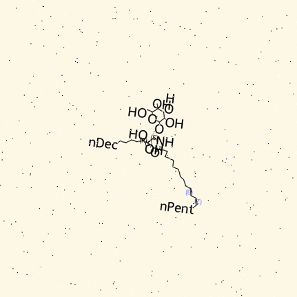 CCCCC/C=C\C=C\CCCCCCCCC(=O)N[C@@H](COC1OC(CO)C(O)C(O)C1O)[C@H](O)[C@H](O)CCCCCCCCCCCCCC